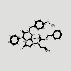 C=CCN(C(=O)NCc1ccccc1)N1CC(=O)N2[C@@H](c3ccccc3)C(=O)N(Cc3ccc(OC)cc3)C[C@@H]21